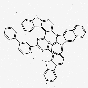 c1ccc(-c2cccc(-c3nc(-c4cccc5c4oc4ccccc45)nc(-c4c(-n5c6ccccc6c6cc7ccccc7cc65)ccc5sc6ccccc6c45)n3)c2)cc1